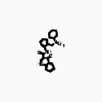 CN(Cc1ccccc1NC(=O)c1c[nH]c2ccccc2c1=O)C1CCCCC1